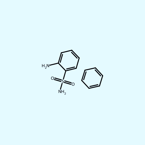 Nc1ccccc1S(N)(=O)=O.c1ccccc1